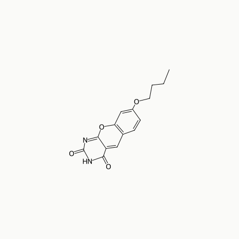 CCCCOc1ccc2cc3c(=O)[nH]c(=O)nc-3oc2c1